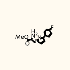 COC(=O)C(N)Cn1ccc(-c2ccc(F)cc2)n1